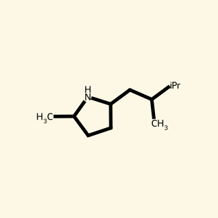 CC1CCC(CC(C)C(C)C)N1